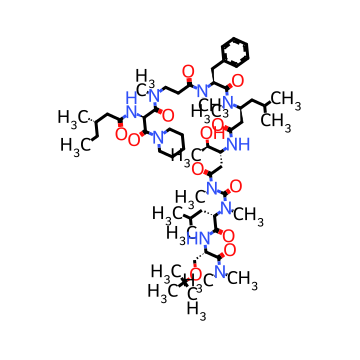 CC[C@H](C)CC(=O)N[C@@H](C(=O)N(C)CCC(=O)N(C)[C@@H](Cc1ccccc1)C(=O)N(C)[C@H](CC(=O)N[C@H](CC(=O)N(C)C(=O)N(C)[C@@H](CC(C)C)C(=O)N[C@@H](COC(C)(C)C)C(=O)N(C)C)[C@@H](C)O)CC(C)C)C(=O)N1CCCCC1